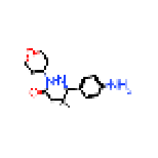 C[C@@H]1CC(=O)N(C2CCOCC2)N=C1c1ccc(N)cc1